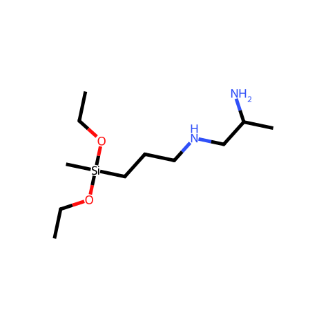 CCO[Si](C)(CCCNCC(C)N)OCC